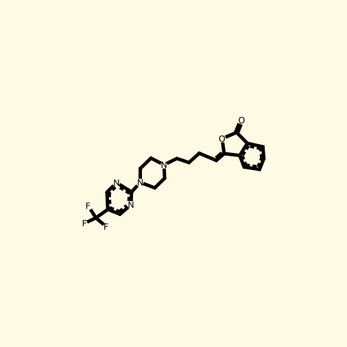 O=C1OC(=CCCCN2CCN(c3ncc(C(F)(F)F)cn3)CC2)c2ccccc21